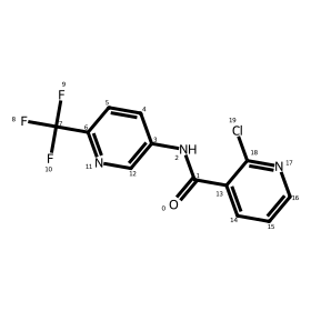 O=C(Nc1ccc(C(F)(F)F)nc1)c1cccnc1Cl